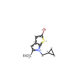 CCOC(=O)c1cc2cc(Br)sc2n1CC1CC1